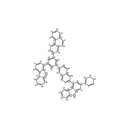 C1=CC(c2cc(-c3ccc4cc(-c5nc(-c6ccc7c(ccc8ccccc87)c6)nc(-c6cccc7c6oc6ccccc67)n5)ccc4c3)c3c(c2)oc2ccccc23)=CCC1